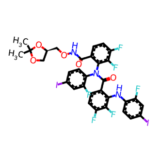 CC1(C)OC[C@H](CONC(=O)c2ccc(F)c(F)c2N(C(=O)c2ccc(F)c(F)c2Nc2ccc(I)cc2F)c2ccc(I)cc2F)O1